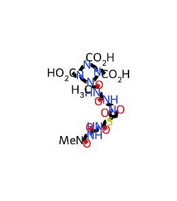 CNC(=O)CNC(=O)CNC(=O)CSC1CC(=O)N(CCNC(=O)CNC(=O)C(C)N2CCN(CC(=O)O)CCN(CC(=O)O)CCN(CC(=O)O)CC2)C1=O